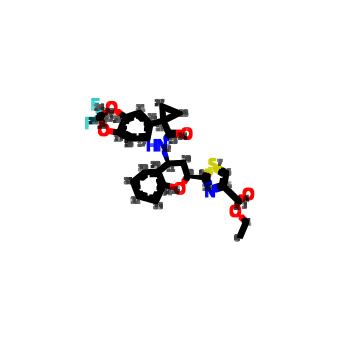 CCOC(=O)c1csc([C@@H]2C[C@H](NC(=O)C3(c4ccc5c(c4)OC(F)(F)O5)CC3)c3ccccc3O2)n1